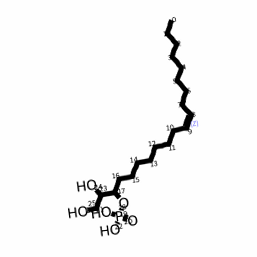 CCCCCCCC/C=C\CCCCCCCC(OP(=O)(O)O)C(O)CO